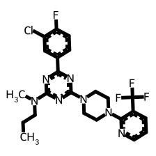 CCCN(C)c1nc(-c2ccc(F)c(Cl)c2)nc(N2CCN(c3ncccc3C(F)(F)F)CC2)n1